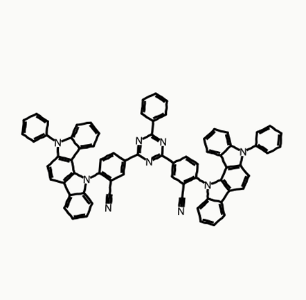 N#Cc1cc(-c2nc(-c3ccccc3)nc(-c3ccc(-n4c5ccccc5c5ccc6c(c7ccccc7n6-c6ccccc6)c54)c(C#N)c3)n2)ccc1-n1c2ccccc2c2ccc3c(c4ccccc4n3-c3ccccc3)c21